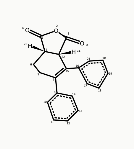 O=C1OC(=O)[C@H]2CCC(c3ccccc3)=C(c3ccccc3)[C@@H]12